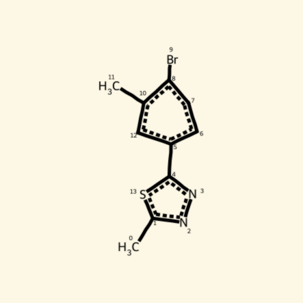 Cc1nnc(-c2ccc(Br)c(C)c2)s1